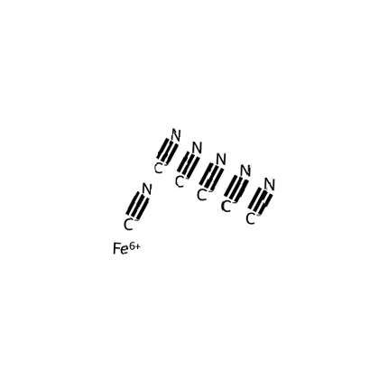 [C-]#N.[C-]#N.[C-]#N.[C-]#N.[C-]#N.[C-]#N.[Fe+6]